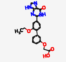 CCOc1cc(-c2nc3[nH]cnc3c(=O)[nH]2)ccc1-c1cccc(OCC(=O)O)c1